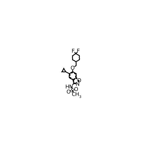 CS(=O)(=O)Nc1noc2cc(OCC3CCC(F)(F)CC3)c(C3CC3)cc12